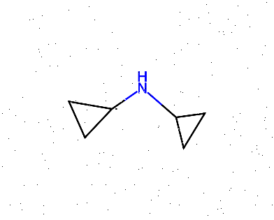 C1C[C]1NC1CC1